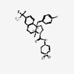 CC(F)(c1ccc2c(c1)CC[C@H]1N(C(=O)NC3CCS(=O)(=O)CC3)CC[C@@]21Cc1ccc(F)cc1)C(F)(F)F